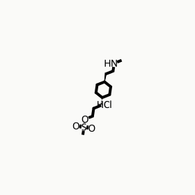 CNCC[C@H]1CC[C@H](CCCOS(C)(=O)=O)CC1.Cl